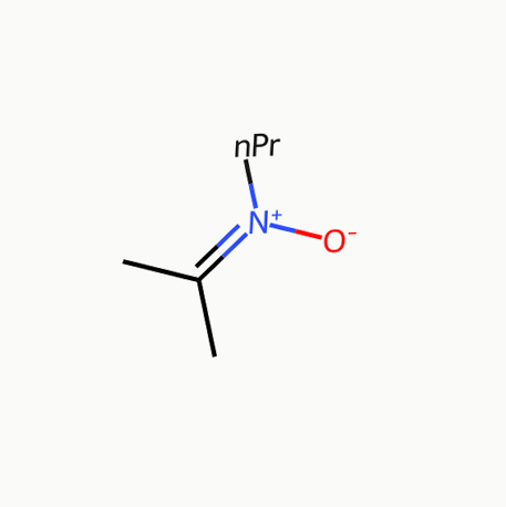 CCC[N+]([O-])=C(C)C